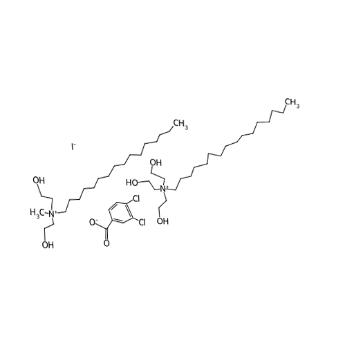 CCCCCCCCCCCCCCCC[N+](C)(CCO)CCO.CCCCCCCCCCCCCCCC[N+](CCO)(CCO)CCO.O=C([O-])c1ccc(Cl)c(Cl)c1.[I-]